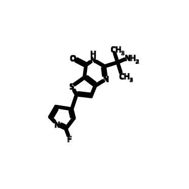 CC(C)(N)c1nc2cc(-c3ccnc(F)c3)sc2c(=O)[nH]1